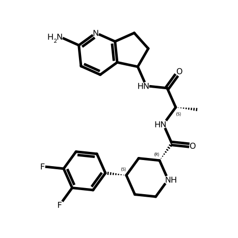 C[C@H](NC(=O)[C@H]1C[C@@H](c2ccc(F)c(F)c2)CCN1)C(=O)NC1CCc2nc(N)ccc21